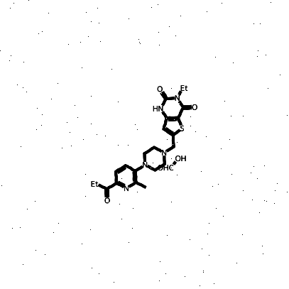 CCC(=O)c1ccc(N2CCN(Cc3cc4[nH]c(=O)n(CC)c(=O)c4s3)CC2)c(C)n1.O=CO